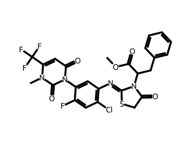 COC(=O)C(Cc1ccccc1)N1C(=O)CSC1=Nc1cc(-n2c(=O)cc(C(F)(F)F)n(C)c2=O)c(F)cc1Cl